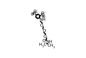 CC(C)NC(=O)COCCOCCOCCNc1ccc([N+](=O)[O-])cc1[N+](=O)[O-]